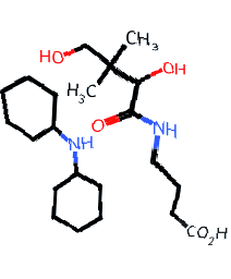 C1CCC(NC2CCCCC2)CC1.CC(C)(CO)C(O)C(=O)NCCCC(=O)O